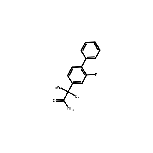 CCCC(CC)(C(N)=O)c1ccc(-c2ccccc2)c(F)c1